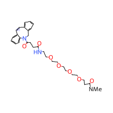 CNC(=O)CCOCCOCCOCCOCCNC(=O)CCC(=O)N1Cc2ccccc2/C=C\c2ccccc21